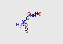 CC(C)(C)c1ccc(COc2cc(-c3ccc(C(=O)NCCCN4CCOCC4)cc3)cnc2N)cc1